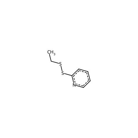 CCSSc1ccccn1